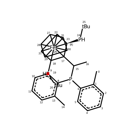 Cc1ccccc1P(c1ccccc1C)C(C)[C]12[C]3(PC(C)(C)C)[CH]4[CH]5[C@@]1(PC(C)(C)C)[Fe]45321678[CH]2[CH]1[CH]6[CH]7[CH]28